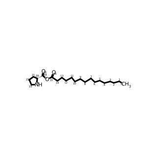 CCCCCCCCCCCCCCCC(=O)OC(=O)[C@H]1CCCN1